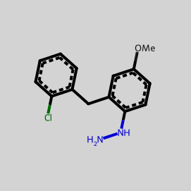 COc1ccc(NN)c(Cc2ccccc2Cl)c1